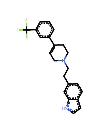 FC(F)(F)c1cccc(C2=CCN(CCc3ccc4cc[nH]c4c3)CC2)c1